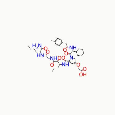 CCCCC(NC(=O)CNC(=O)C(=O)C(CCC)NC(=O)[C@@H]1C[C@@H](OCC(=O)O)CN1C(=O)C(NC(=O)Cc1ccc(C)cc1)C1CCCCC1)C(N)=O